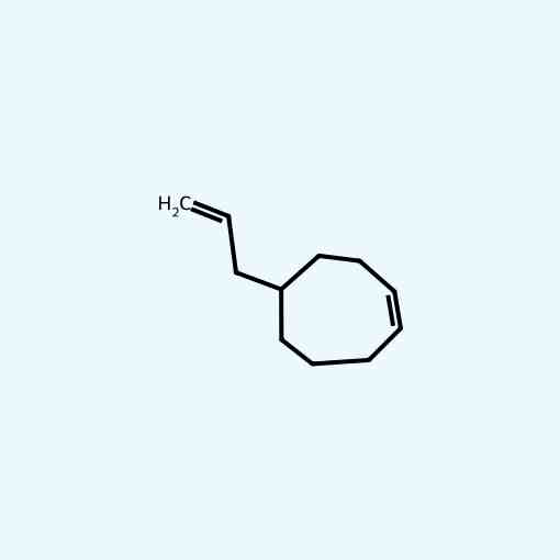 C=CCC1CC/C=C\CCC1